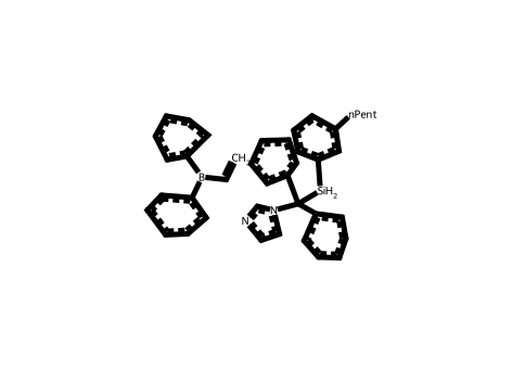 C=CB(c1ccccc1)c1ccccc1.CCCCCc1cccc([SiH2]C(c2ccccc2)(c2ccccc2)n2ccnc2)c1